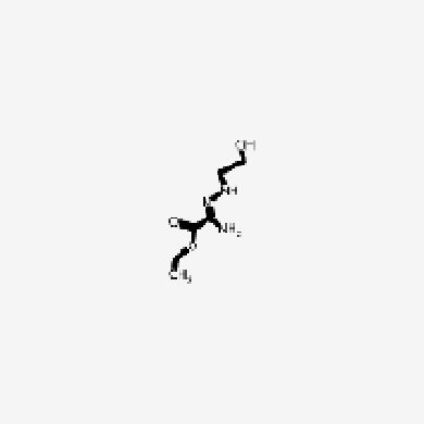 CCOC(=O)/C(N)=N/NCCO